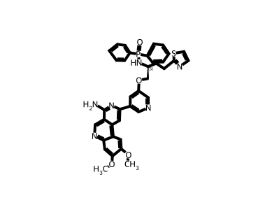 COc1cc2ncc3c(N)nc(-c4cncc(OC[C@H](CCc5nccs5)NP(=O)(c5ccccc5)c5ccccc5)c4)cc3c2cc1OC